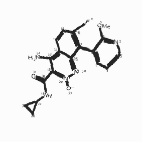 COc1ncccc1-c1c(F)ccc2c(N)c(C(=O)NC3CC3)[n+]([O-])nc12